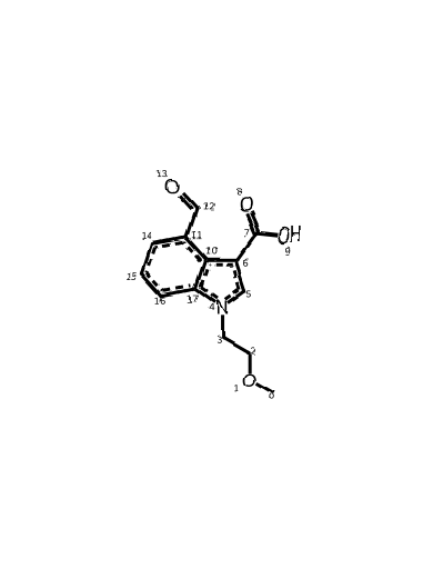 COCCn1cc(C(=O)O)c2c(C=O)cccc21